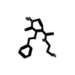 Cn1ccc(C(=O)NCCN)c(OCc2ccccc2)c1=O